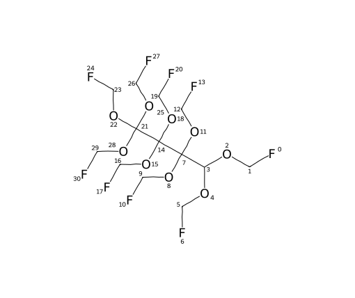 FCOC(OCF)C(OCF)(OCF)C(OCF)(OCF)C(OCF)(OCF)OCF